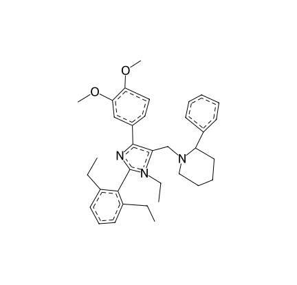 CCc1cccc(CC)c1-c1nc(-c2ccc(OC)c(OC)c2)c(CN2CCCCC2c2ccccc2)n1CC